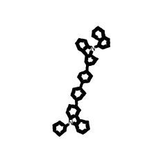 c1ccc(-n2c3ccccc3c3cc(-c4ccc(-c5ccc(-c6ccc7c(c6)c6ccccc6n7-c6cccc7ccccc67)cc5)cc4)ccc32)cc1